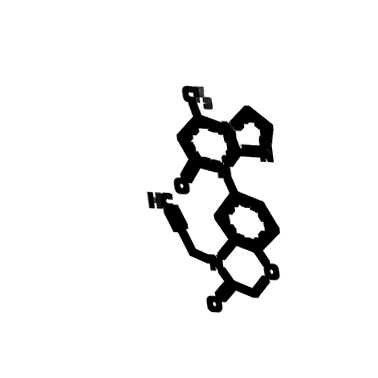 C#CCN1C(=O)COc2ccc(-n3c(=O)cc(C(F)(F)F)n4ccnc34)cc21